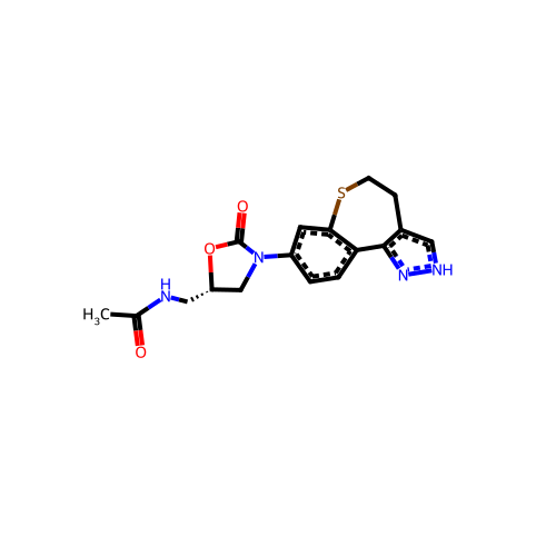 CC(=O)NC[C@H]1CN(c2ccc3c(c2)SCCc2c[nH]nc2-3)C(=O)O1